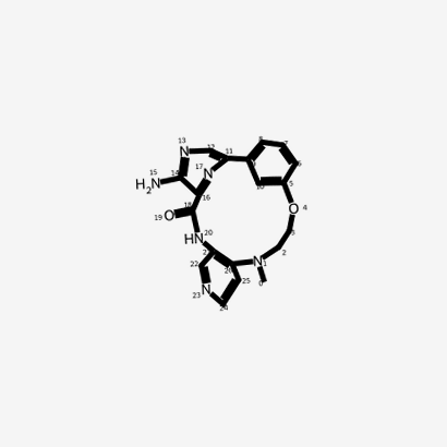 CN1CCOc2cccc(c2)-c2cnc(N)c(n2)C(=O)Nc2cnccc21